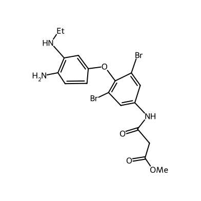 CCNc1cc(Oc2c(Br)cc(NC(=O)CC(=O)OC)cc2Br)ccc1N